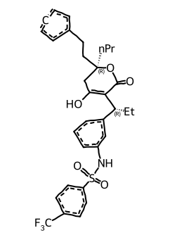 CCC[C@@]1(CCc2ccccc2)CC(O)=C([C@H](CC)c2cccc(NS(=O)(=O)c3ccc(C(F)(F)F)cc3)c2)C(=O)O1